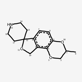 CC1COc2c(ccc3c2COC32CCNCC2)O1